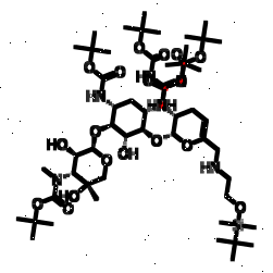 CN(C(=O)OC(C)(C)C)[C@@H]1[C@@H](O)[C@@H](O[C@@H]2[C@@H](O)[C@H](O[C@H]3OC(CNCCO[Si](C)(C)C(C)(C)C)=CC[C@H]3N/C(=N/C(=O)OC(C)(C)C)NC(=O)OC(C)(C)C)[C@@H](NC(=O)OC(C)(C)C)C[C@H]2NC(=O)OC(C)(C)C)OC[C@]1(C)O